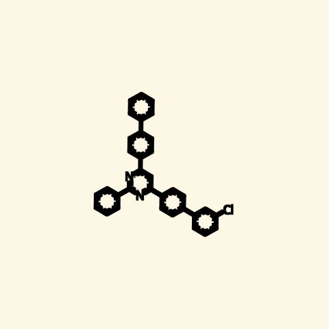 Clc1cccc(-c2ccc(-c3cc(-c4ccc(-c5ccccc5)cc4)nc(-c4ccccc4)n3)cc2)c1